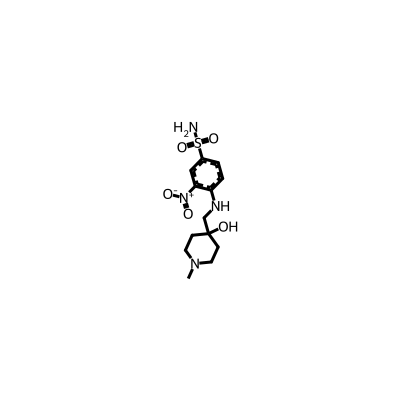 CN1CCC(O)(CNc2ccc(S(N)(=O)=O)cc2[N+](=O)[O-])CC1